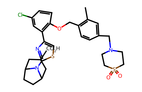 Cc1cc(CN2CCS(=O)(=O)CC2)ccc1COc1ccc(Cl)cc1-c1csc(N2C3CCC2CC(C(=O)O)C3)n1